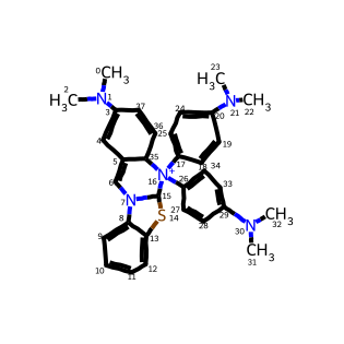 CN(C)C1=CC2=CN3c4ccccc4SC3[N+](c3ccc(N(C)C)cc3)(c3ccc(N(C)C)cc3)C2C=C1